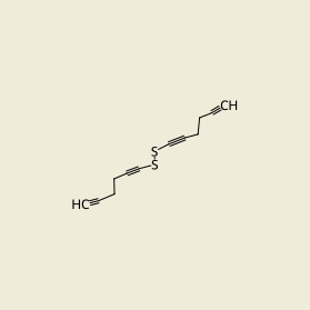 C#CCCC#CSSC#CCCC#C